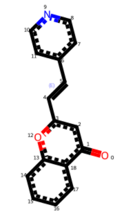 O=c1cc(/C=C/c2ccncc2)oc2ccccc12